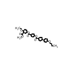 CCCCOc1ccc(-c2ccc(C(=O)Oc3ccc(C(=O)Oc4ccc(OCC)c(C(=O)OC)c4)cc3)cc2)cc1